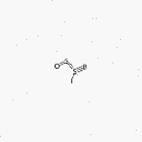 B#S(I)=S=O